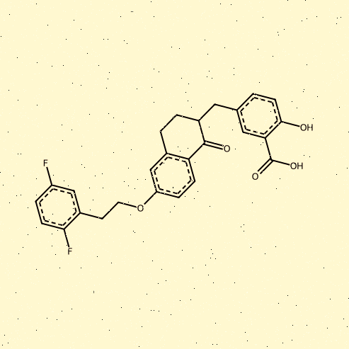 O=C(O)c1cc(CC2CCc3cc(OCCc4cc(F)ccc4F)ccc3C2=O)ccc1O